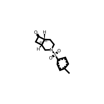 Cc1ccc(S(=O)(=O)N2CC[C@H]3C(=O)C[C@H]3C2)cc1